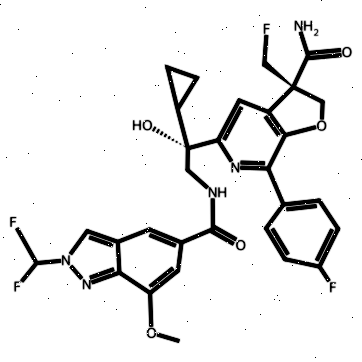 COc1cc(C(=O)NC[C@](O)(c2cc3c(c(-c4ccc(F)cc4)n2)OC[C@@]3(CF)C(N)=O)C2CC2)cc2cn(C(F)F)nc12